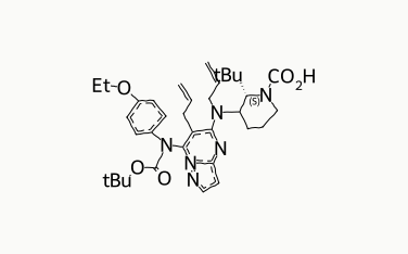 C=CCc1c(N(CC=C)C2CCCN(C(=O)O)[C@H]2C(C)(C)C)nc2ccnn2c1N(C(=O)OC(C)(C)C)c1ccc(OCC)cc1